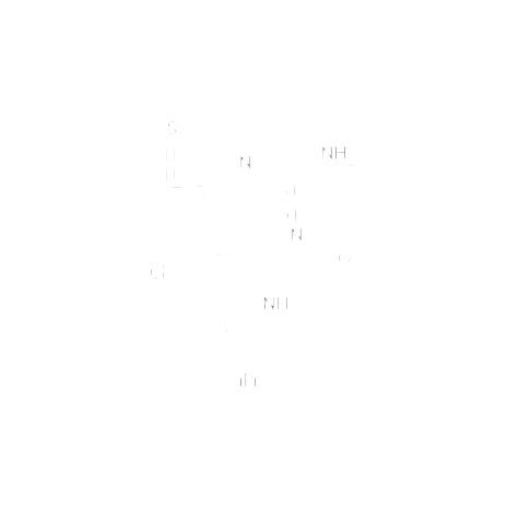 CC(C)CNc1c(Cl)c(C=S)nc(N)[n+]1[O-]